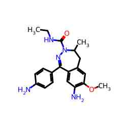 CCNC(=O)N1N=C(c2ccc(N)cc2)c2cc(N)c(OC)cc2CC1C